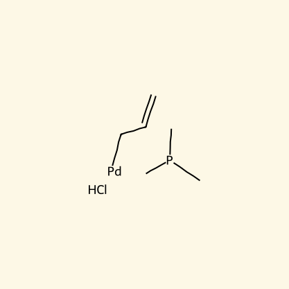 C=C[CH2][Pd].CP(C)C.Cl